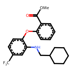 COC(=O)c1ccccc1Oc1ccc(C(F)(F)F)cc1NCC1CCCCC1